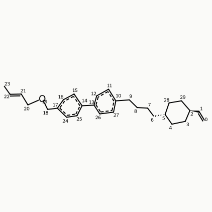 C=C[C@H]1CC[C@H](CCCCc2ccc(-c3ccc(COCC=CC)cc3)cc2)CC1